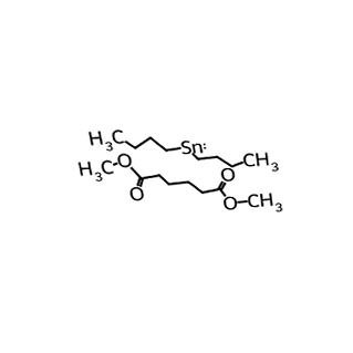 CCC[CH2][Sn][CH2]CCC.COC(=O)CCCCC(=O)OC